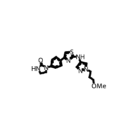 COCCCn1cc(Nc2nc(-c3ccc(N4CCNC4=O)cc3)cs2)cn1